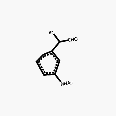 CC(=O)Nc1cccc(C(Br)C=O)c1